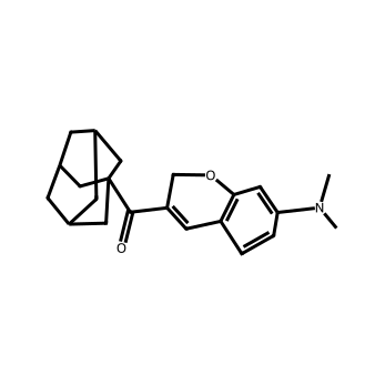 CN(C)c1ccc2c(c1)OCC(C(=O)C13CC4CC(CC(C4)C1)C3)=C2